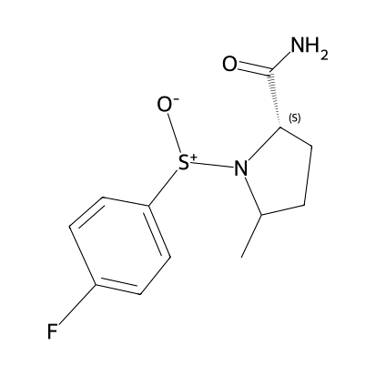 CC1CC[C@@H](C(N)=O)N1[S+]([O-])c1ccc(F)cc1